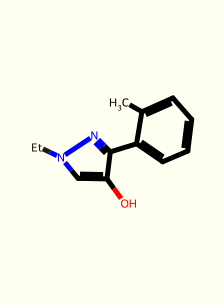 CCn1cc(O)c(-c2ccccc2C)n1